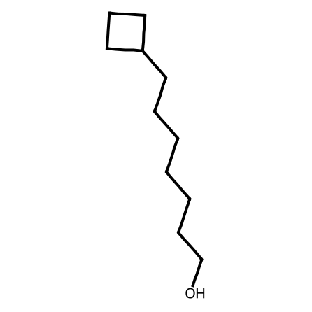 OCCCCCCCC1CCC1